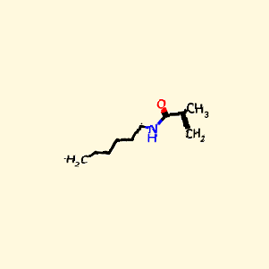 [CH2]CCCC[CH]NC(=O)C(=C)C